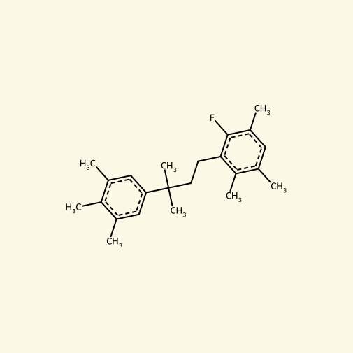 Cc1cc(C(C)(C)CCc2c(C)c(C)cc(C)c2F)cc(C)c1C